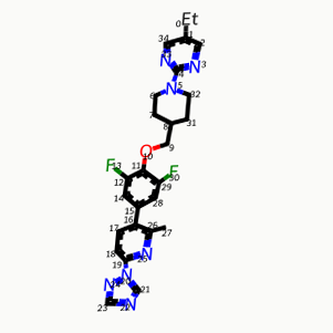 CCc1cnc(N2CCC(COc3c(F)cc(-c4ccc(-n5cncn5)nc4C)cc3F)CC2)nc1